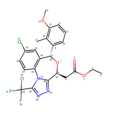 CCOC(=O)C[C@@H]1O[C@@H](c2cccc(OC)c2C)c2cc(Cl)ccc2-n2c1nnc2C(F)(F)Cl